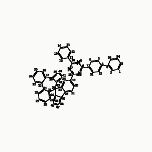 c1ccc(-c2ccc(-c3nc(-c4ccccc4)nc(-c4ccc5c(c4)C4(c6ccccc6-c6ccccc6-c6ccccc64)c4ccccc4-5)n3)cc2)cc1